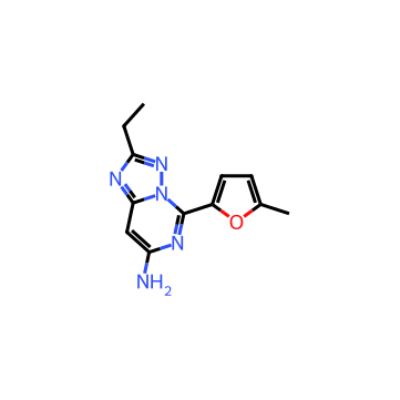 CCc1nc2cc(N)nc(-c3ccc(C)o3)n2n1